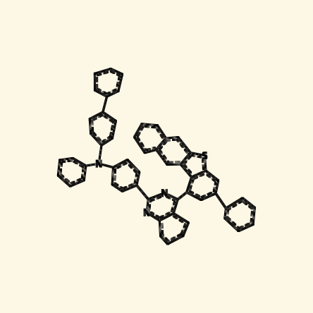 c1ccc(-c2ccc(N(c3ccccc3)c3ccc(-c4nc(-c5cc(-c6ccccc6)cc6sc7cc8ccccc8cc7c56)c5ccccc5n4)cc3)cc2)cc1